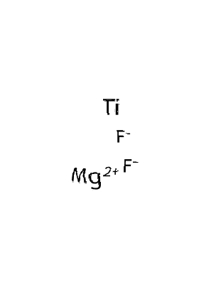 [F-].[F-].[Mg+2].[Ti]